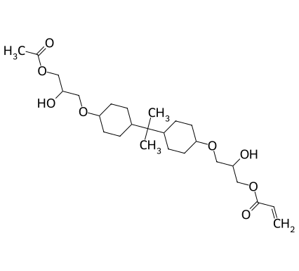 C=CC(=O)OCC(O)COC1CCC(C(C)(C)C2CCC(OCC(O)COC(C)=O)CC2)CC1